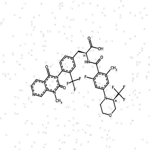 Cc1cc(N2CCOC[C@@H]2C(F)(F)F)cc(F)c1C(=O)N[C@@H](Cc1ccc(-n2c(=O)c3ccncc3n(C)c2=O)c(C(F)(F)F)c1)C(=O)O